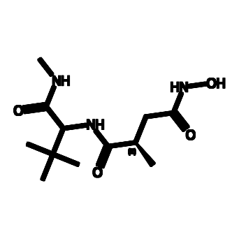 CNC(=O)C(NC(=O)[C@H](C)CC(=O)NO)C(C)(C)C